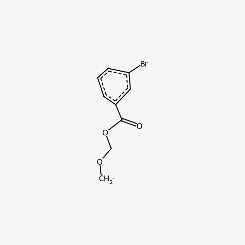 [CH2]OCOC(=O)c1cccc(Br)c1